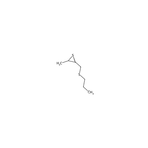 CCCSCC1SC1C